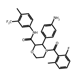 Cc1ccc(NC(=O)C2OCCN(C(=O)c3c(C)cccc3F)C2c2ccc(N)cc2)cc1C(F)(F)F